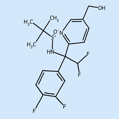 CC(C)(C)[S+]([O-])NC(c1ccc(F)c(F)c1)(c1ccc(CO)cn1)C(F)F